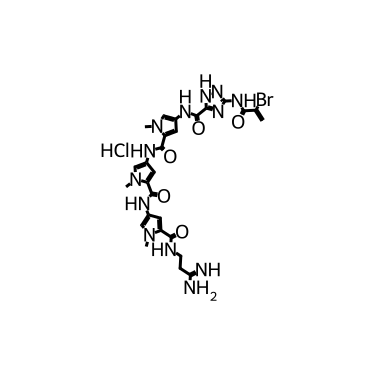 C=C(Br)C(=O)Nc1n[nH]c(C(=O)Nc2cc(C(=O)Nc3cc(C(=O)Nc4cc(C(=O)NCCC(=N)N)n(C)c4)n(C)c3)n(C)c2)n1.Cl